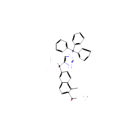 COC(=O)c1ccc2cc(C(O)(c3cn(C(c4ccccc4)(c4ccccc4)c4ccccc4)cn3)C(C)C)ccc2c1C